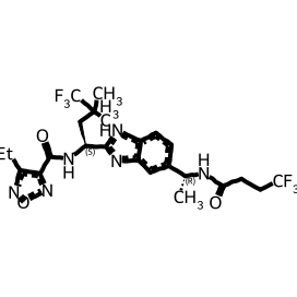 CCc1nonc1C(=O)N[C@@H](CC(C)(C)C(F)(F)F)c1nc2cc([C@@H](C)NC(=O)CCC(F)(F)F)ccc2[nH]1